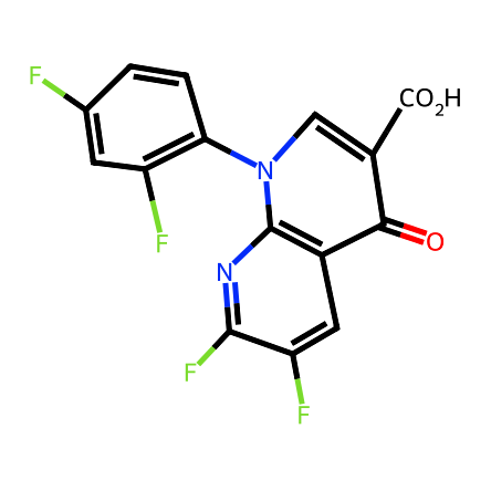 O=C(O)c1cn(-c2ccc(F)cc2F)c2nc(F)c(F)cc2c1=O